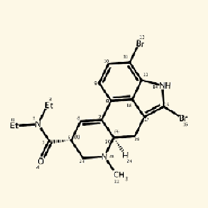 CCN(CC)C(=O)[C@@H]1C=C2c3ccc(Br)c4[nH]c(Br)c(c34)C[C@H]2N(C)C1